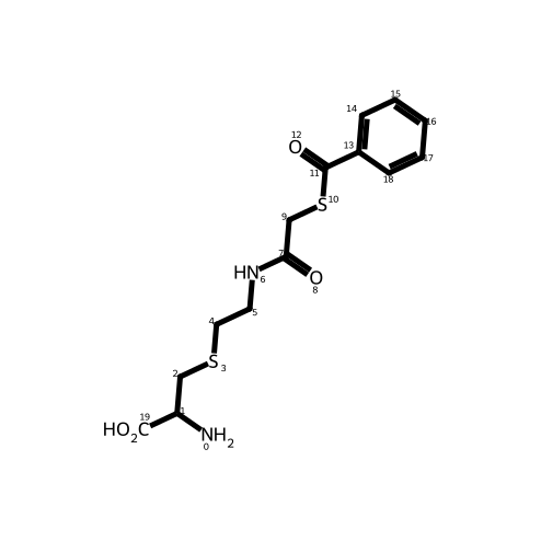 NC(CSCCNC(=O)CSC(=O)c1ccccc1)C(=O)O